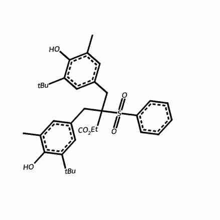 CCOC(=O)C(Cc1cc(C)c(O)c(C(C)(C)C)c1)(Cc1cc(C)c(O)c(C(C)(C)C)c1)S(=O)(=O)c1ccccc1